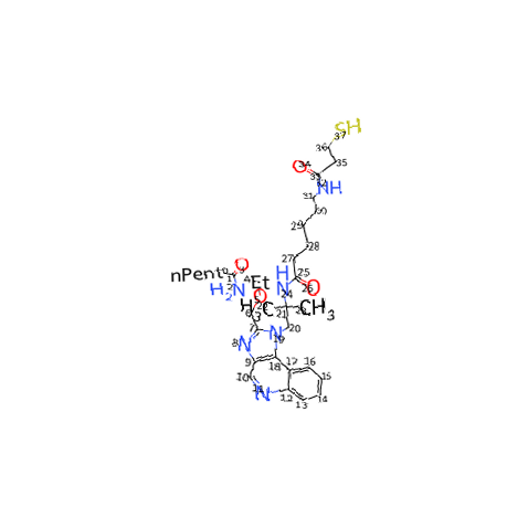 CCCCCC(N)=O.CCOCc1nc2cnc3ccccc3c2n1CC(C)(C)NC(=O)CCCCCNC(=O)CCS